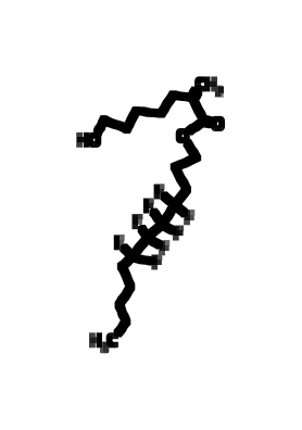 C=C(CCCCCO)C(=O)OCCCC(F)(F)C(F)(F)C(F)(F)C(F)(F)CCCCC